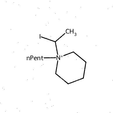 CCCCC[N+]1(C(C)I)CCCCC1